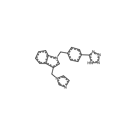 c1ccc2c(c1)c(Cn1ccnc1)cn2Cc1ccc(-c2nnn[nH]2)cc1